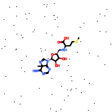 CSCCC(NC[C@H]1O[C@@H](N2C=NC3(C)C(=N)N=CN=C23)[C@H](O)[C@@H]1O)C(=O)O